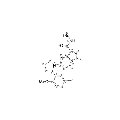 COc1ncc(F)cc1C1CCCN1c1ccn2ncc(C(=O)NC(C)(C)C)c2n1